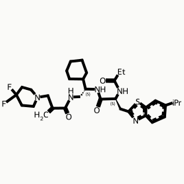 C=C(CN1CCC(F)(F)CC1)C(=O)NC[C@@H](NC(=O)[C@H](Cc1nc2ccc(C(C)C)cc2s1)NC(=O)CC)C1CCCCC1